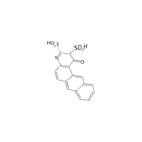 O=C1c2c(ccc3cc4ccccc4cc23)N=C(S(=O)(=O)O)C1S(=O)(=O)O